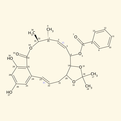 C[C@@H]1/C=C\C(OC(=O)c2ccccc2)C2OC(C)(C)OC2C/C=C/c2cc(O)cc(O)c2C(=O)O[C@H]1C